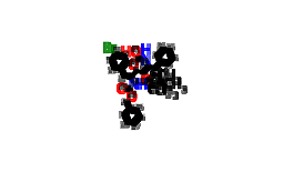 CC(C)(C)[Si](C)(C)O[C@@H](C[C@H](Cc1ccc(Br)cc1)NC(=O)OCc1ccccc1)[C@H](Cc1ccccc1)NC(=O)O